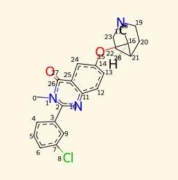 Cn1c(-c2cccc(Cl)c2)nc2ccc(O[C@H]3CN4CCC3CC4)cc2c1=O